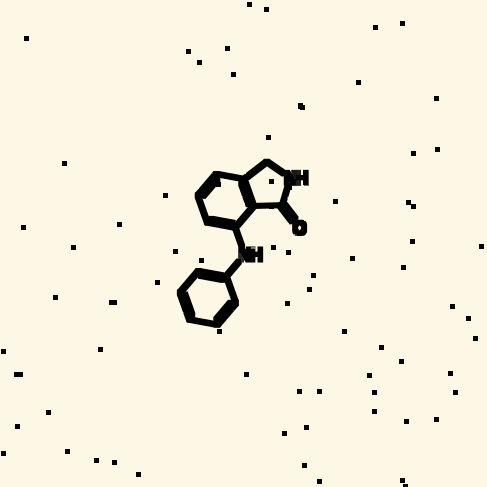 O=C1NCc2cccc(Nc3ccccc3)c21